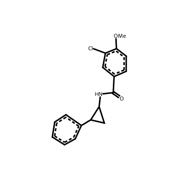 COc1ccc(C(=O)NC2CC2c2ccccc2)cc1Cl